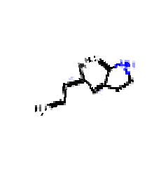 C=C/C=C(\C=C1\CCNC1=C)C(C)CC